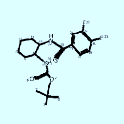 CC(C)(C)OC(=O)NC1CCCCC1NC(=O)c1ccc(F)c(F)c1